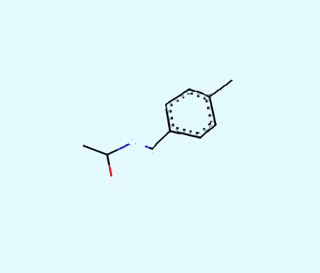 C[C](O)NCc1ccc(C)cc1